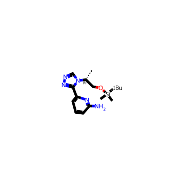 C[C@H](CO[Si](C)(C)C(C)(C)C)n1cnnc1-c1cccc(N)n1